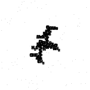 CCn1nc(C)c(CCCCCn2nc(C)cc2C=O)c1C(=O)Nc1nc2cc(C(N)=O)ccc2n1CCCCn1c(NC)nc2cc(C(=O)OC)ccc21